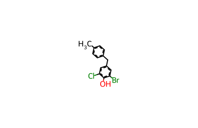 Cc1ccc(Cc2cc(Cl)c(O)c(Br)c2)cc1